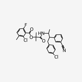 Cc1ccc(F)c(C(=O)OC(C)(C)C(=O)NC(C)C(Cc2ccc(Cl)cc2)c2cccc(C#N)c2)c1Cl